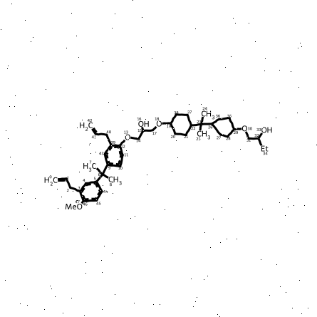 C=CCc1cc(C(C)(C)c2ccc(OCC(O)COC3CCC(C(C)(C)C4CCC(OCC(O)CC)CC4)CC3)c(CC=C)c2)ccc1OC